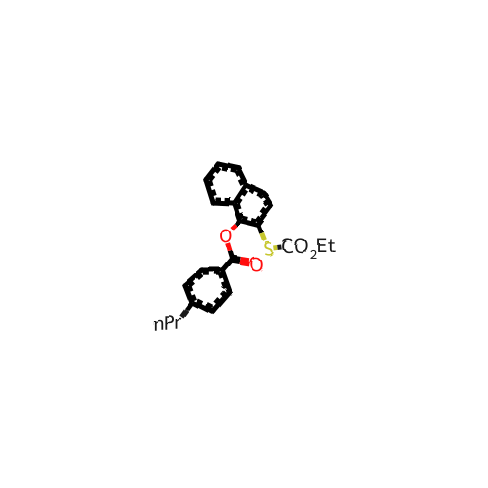 CCCc1ccc(C(=O)Oc2c(SC(=O)OCC)ccc3ccccc23)cc1